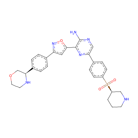 Nc1ncc(-c2ccc(S(=O)(=O)[C@@H]3CCCNC3)cc2)nc1-c1cc(-c2ccc([C@@H]3COCCN3)cc2)no1